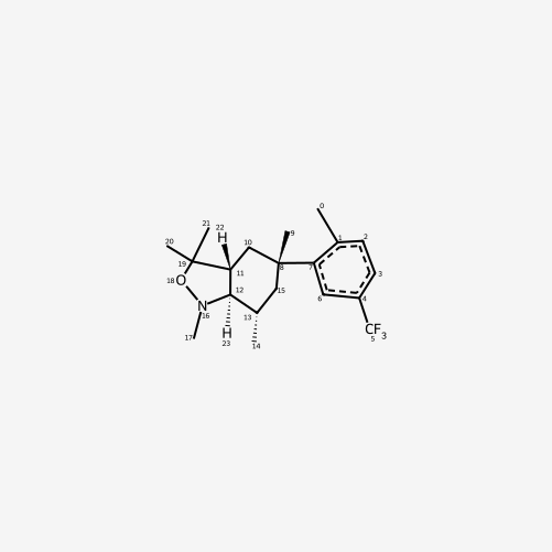 Cc1ccc(C(F)(F)F)cc1[C@@]1(C)C[C@@H]2[C@@H]([C@@H](C)C1)N(C)OC2(C)C